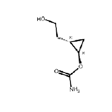 NC(=O)O[C@@H]1C[C@H]1CCO